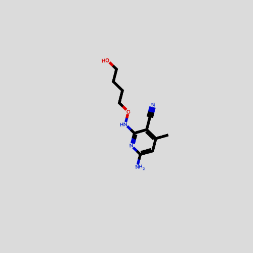 Cc1cc(N)nc(NOCCCCO)c1C#N